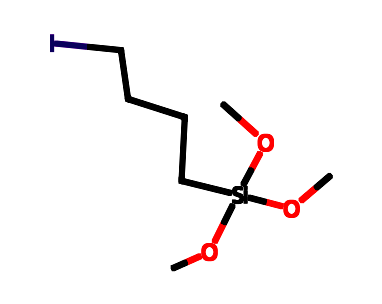 CO[Si](CCCCI)(OC)OC